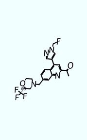 CC(=O)c1cc(-c2cnn(CF)c2)c2ccc(CN3CCO[C@@H](C(F)(F)F)C3)cc2n1